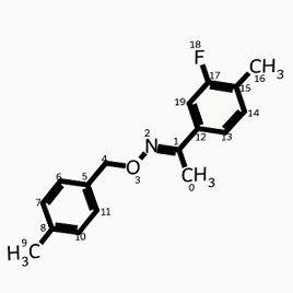 C/C(=N\OCc1ccc(C)cc1)c1ccc(C)c(F)c1